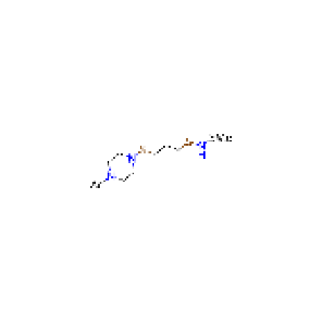 CSNSCCCSN1CCN(C(C)=O)CC1